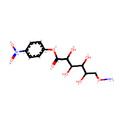 NOCC(O)C(O)C(O)C(O)C(=O)Oc1ccc([N+](=O)[O-])cc1